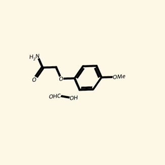 COc1ccc(OCC(N)=O)cc1.O=CO